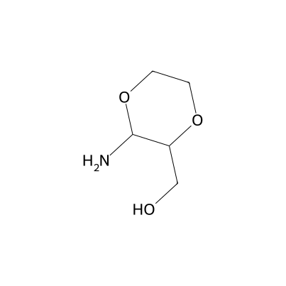 NC1OCCOC1CO